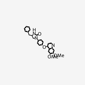 COc1cc2nccc(Oc3ccc(N4CC(Cc5ccccc5)NC4=O)cc3)c2cc1OC